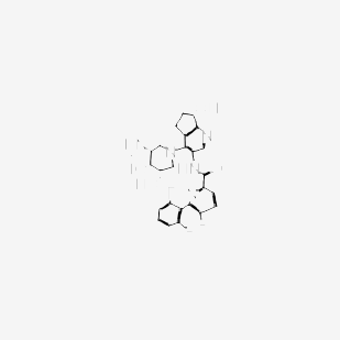 C[C@H]1CN(c2c(NC(=O)c3ccc(F)c(-c4c(F)cccc4F)n3)cnc3c2CCC3O)C[C@H](N)[C@H]1O